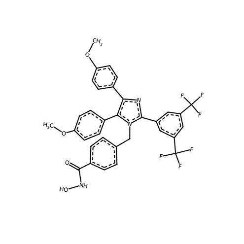 COc1ccc(-c2nc(-c3cc(C(F)(F)F)cc(C(F)(F)F)c3)n(Cc3ccc(C(=O)NO)cc3)c2-c2ccc(OC)cc2)cc1